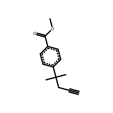 C#CCC(C)(C)c1ccc(C(=O)OC)cc1